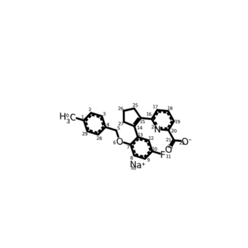 Cc1ccc(COc2ccc(F)cc2C2=C(c3cccc(C(=O)[O-])n3)CCC2)cc1.[Na+]